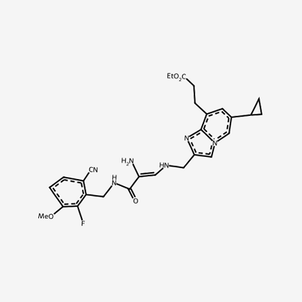 CCOC(=O)CCc1cc(C2CC2)cn2cc(CN/C=C(\N)C(=O)NCc3c(C#N)ccc(OC)c3F)nc12